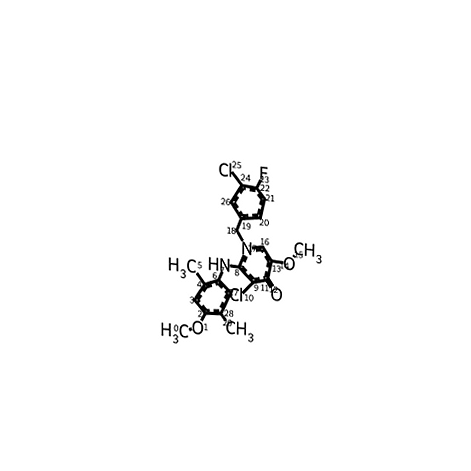 COc1cc(C)c(Nc2c(Cl)c(=O)c(OC)cn2Cc2ccc(F)c(Cl)c2)cc1C